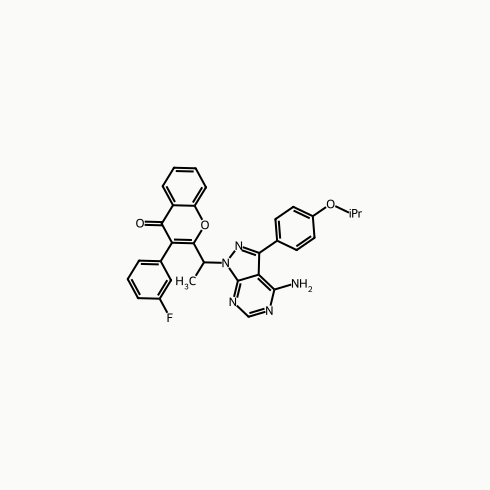 CC(C)Oc1ccc(-c2nn(C(C)c3oc4ccccc4c(=O)c3-c3cccc(F)c3)c3ncnc(N)c23)cc1